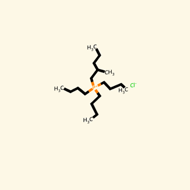 CCCC[P+](CCCC)(CCCC)CC(C)CCC.[Cl-]